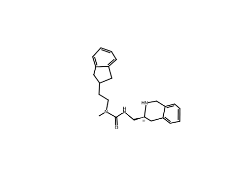 CN(CCC1Cc2ccccc2C1)C(=O)NC[C@@H]1Cc2ccccc2CN1